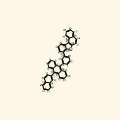 c1cc(-c2c3ccccc3c(-c3ccc4ccccc4c3)c3ccccc23)cc(-c2cccc3c2oc2ccc4ccccc4c23)c1